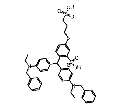 CCN(Cc1ccccc1)c1ccc(C(c2ccc(N(CC)Cc3ccccc3)cc2)c2ccc(SCCCS(=O)(=O)O)cc2S(=O)(=O)O)cc1